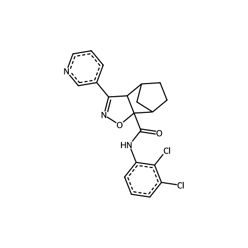 O=C(Nc1cccc(Cl)c1Cl)C12ON=C(c3cccnc3)C1C1CCC2C1